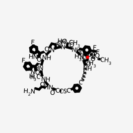 CCOP(=O)(OCC)C(F)(F)c1ccc(C[C@@H]2NC(=O)[C@H]([C@@H](C)O)NC(=O)[C@@H]3CCCN3C(=O)[C@H](Cc3c[nH]c4ccc(F)cc34)NC(=O)[C@H](Cc3c[nH]c4ccc(F)cc34)NC(=O)[C@@H](C)NC(=O)[C@H](CCCCN)NC(=O)CCSCc3cccc(c3)CSCCNC(=O)[C@]3(C)CCCN3C2=O)cc1